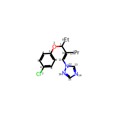 CCC(Oc1ccc(Cl)cc1)C(=Cn1cncn1)C(C)C